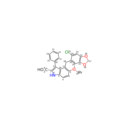 CC(C)Oc1ccc2[nH]c(C(=O)O)c(-c3ccccc3)c2c1Cc1cc2c(cc1Cl)OCO2